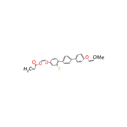 C=CC(=O)O/C=C\Oc1ccc(-c2ccc(-c3ccc(O/C=C\OC)cc3)cc2)c(F)c1